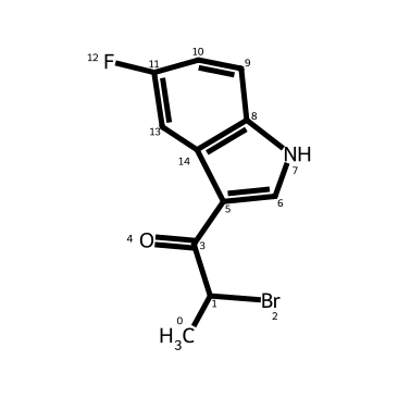 CC(Br)C(=O)c1c[nH]c2ccc(F)cc12